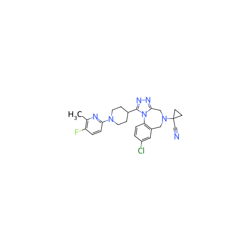 Cc1nc(N2CCC(c3nnc4n3-c3ccc(Cl)cc3CN(C3(C#N)CC3)C4)CC2)ccc1F